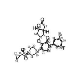 O=C1C[C@@H]2C[C@H](Oc3c(N4CCN(S(=O)(=O)C5CC5)CC4)cnn(-c4cc(F)cc(F)c4)c3=O)C[C@@H]2O1